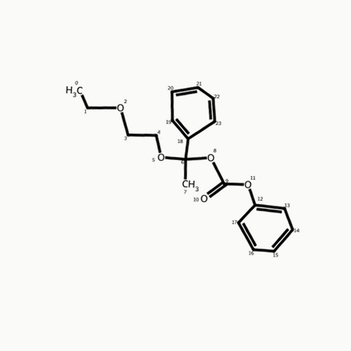 CCOCCOC(C)(OC(=O)Oc1ccccc1)c1ccccc1